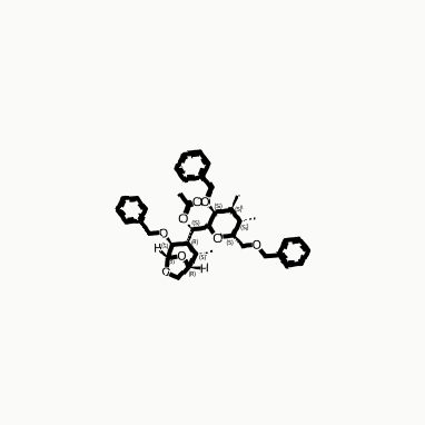 CC(=O)O[C@H](C1O[C@H](COCc2ccccc2)[C@@H](C)[C@H](C)[C@@H]1OCc1ccccc1)[C@H]1[C@H](C)[C@@H]2CO[C@@H](O2)[C@H]1OCc1ccccc1